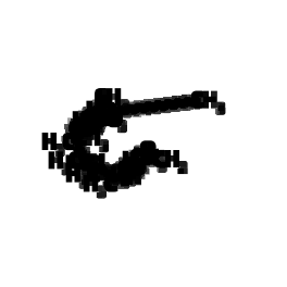 C=CCC1C(=O)CC[C@@]2(C)C1CC[C@H]1[C@@H]3CC[C@H]([C@H](C)CCCC(C)C)[C@@]3(C)CC[C@@H]12.C=CC[C@@H]1[C@H](OC(=O)CCCCCCCCCCCCCCCCC)CC[C@@]2(C)[C@H]1CC[C@@H]1[C@@H]2CC[C@]2(C)[C@@H]([C@H](C)CCCC(C)C)CC[C@@H]12